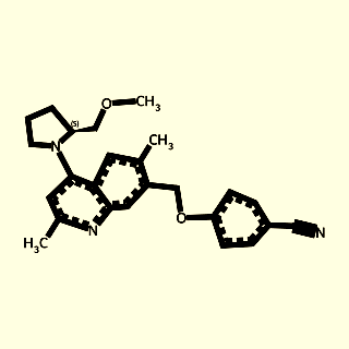 COC[C@@H]1CCCN1c1cc(C)nc2cc(COc3ccc(C#N)cc3)c(C)cc12